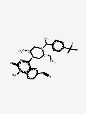 CC[C@@H]1CN(c2nc(=O)n(C)c3ccc(C#N)nc23)[C@@H](C)CN1C(C)c1ccc(C(F)(F)F)cc1